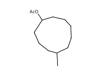 CC(=O)OC1CCCCCC(C)CCC1